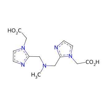 CN(Cc1nccn1CC(=O)O)Cc1nccn1CC(=O)O